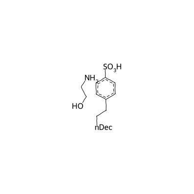 CCCCCCCCCCCCc1ccc(S(=O)(=O)O)cc1.NCCO